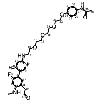 CNc1cc(F)c(-c2cnc(NCCOCCOCCOCCOc3ccc(NC(C)=O)cc3)cc2C)cc1CC=O